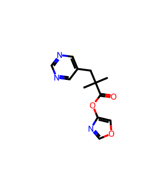 CC(C)(Cc1cncnc1)C(=O)Oc1cocn1